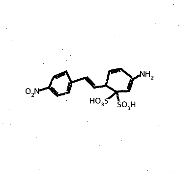 NC1=CC(S(=O)(=O)O)(S(=O)(=O)O)C(C=Cc2ccc([N+](=O)[O-])cc2)C=C1